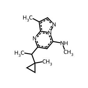 CNc1cc(C(C)C2(C)CC2)nc2c(C)cnn12